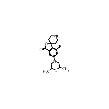 CC1CN(c2cc(F)c3c(c2)C(=O)OC32CCNCC2)CC(C)O1